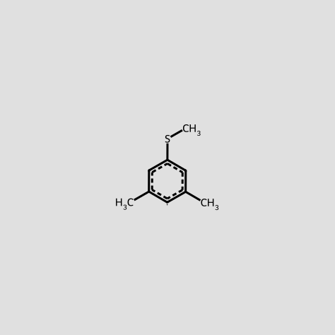 CSc1cc(C)[c]c(C)c1